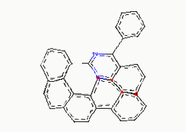 c1ccc(-c2nc(-c3cccc4ccc5ccc6c7ccccc7ccc6c5c34)nc3ccccc23)cc1